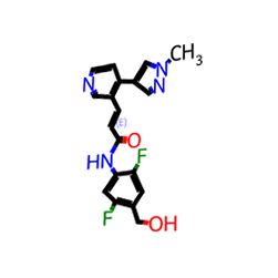 Cn1cc(-c2ccncc2/C=C/C(=O)Nc2cc(F)c(CO)cc2F)cn1